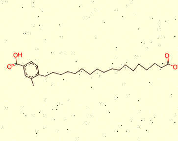 Cc1cc(C(=O)O)ccc1CCCCCCCCCCCCCCCCCC(=O)O